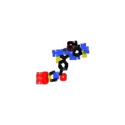 COc1cc2nnsc2cc1NC1NCNc2sc3cc(C(=O)N4CCS(O)(O)CC4)ccc3c21